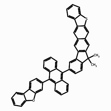 CC1(C)c2ccc(-c3c4ccccc4c(-c4ccc5c(c4)oc4ccccc45)c4ccccc34)cc2-c2cc3cc4c(cc3cc21)sc1ccccc14